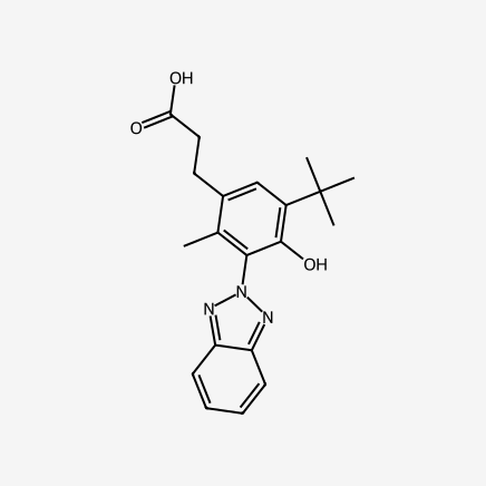 Cc1c(CCC(=O)O)cc(C(C)(C)C)c(O)c1-n1nc2ccccc2n1